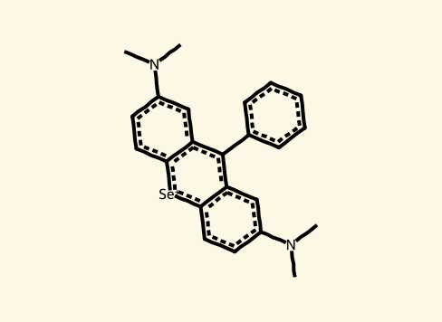 CN(C)c1ccc2[se+]c3ccc(N(C)C)cc3c(-c3ccccc3)c2c1